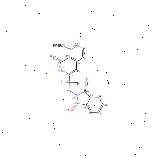 COc1nccc2cc(C(C)(C)CN3C(=O)c4ccccc4C3=O)[nH]c(=O)c12